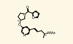 CN[C@@H](C)CC=Cc1cncc(O[C@H]2CCN(C(=O)c3ccco3)C2)c1